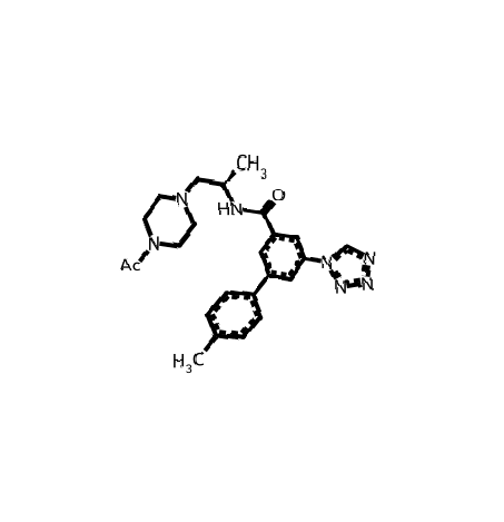 CC(=O)N1CCN(C[C@@H](C)NC(=O)c2cc(-c3ccc(C)cc3)cc(-n3cnnn3)c2)CC1